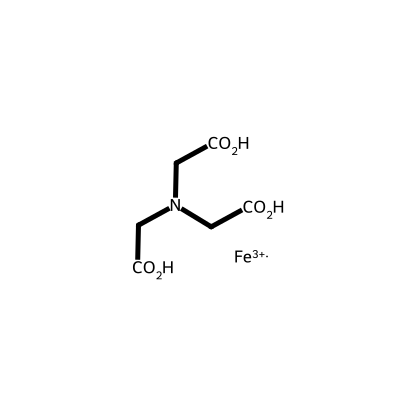 O=C(O)CN(CC(=O)O)CC(=O)O.[Fe+3]